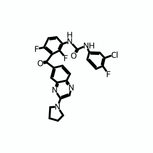 O=C(Nc1ccc(F)c(Cl)c1)Nc1ccc(F)c(C(=O)c2ccc3ncc(N4CCCC4)nc3c2)c1F